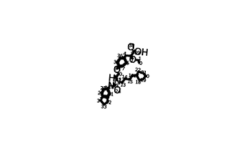 CCOC(Cc1ccc(OCCN(CCCCC2CCCCC2)C(=O)Nc2ccc3c(c2)CCC3)cc1)C(=O)O